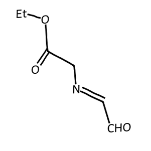 CCOC(=O)CN=CC=O